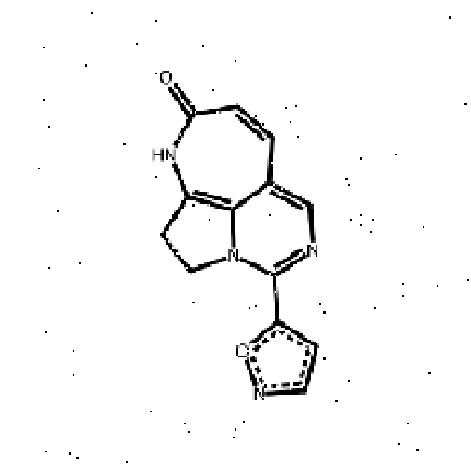 O=C1C=CC2=CN=C(c3ccno3)N3CCC(=C23)N1